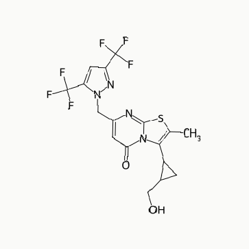 Cc1sc2nc(Cn3nc(C(F)(F)F)cc3C(F)(F)F)cc(=O)n2c1C1CC1CO